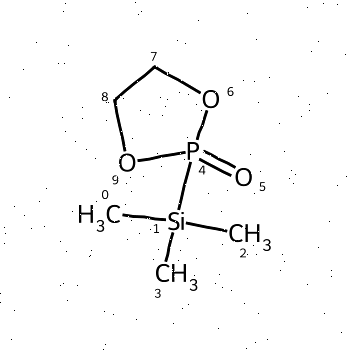 C[Si](C)(C)P1(=O)OCCO1